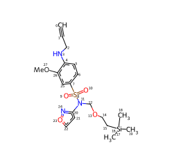 C#CCNc1ccc(S(=O)(=O)N(COCC[Si](C)(C)C)c2ccon2)cc1OC